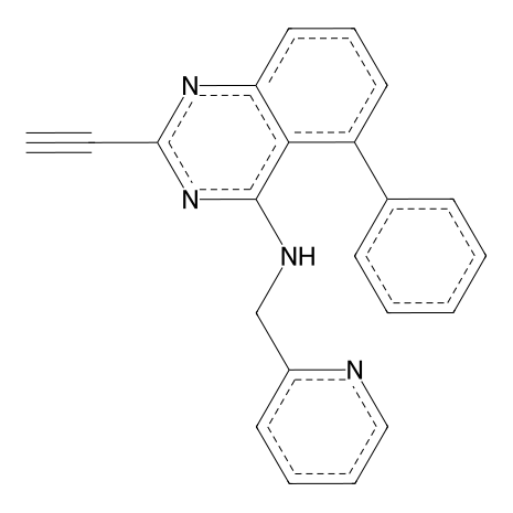 C#Cc1nc(NCc2ccccn2)c2c(-c3ccccc3)cccc2n1